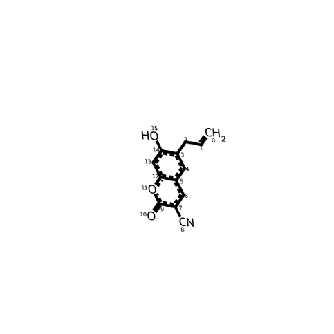 C=CCc1cc2cc(C#N)c(=O)oc2cc1O